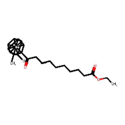 CCOC(=O)CCCCCCCCC(=O)[C]12[CH]3[CH]4[CH]5[C]1(C)[Fe]45321678[CH]2[CH]1[CH]6[C]7(C)[CH]28